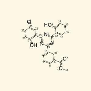 COC(=O)c1cccc(-c2nc(-c3ccccc3O)nc(-c3cc(Cl)ccc3O)n2)c1